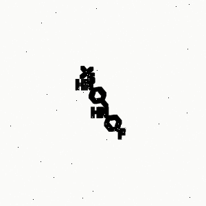 CC(C)(C)SNc1ccc(CNc2ccc(F)cc2)cc1